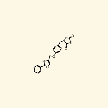 O=C1CN(Cc2ccc(OCc3coc(-c4ccccc4)n3)cc2)C(=O)S1